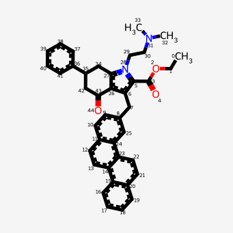 CCOC(=O)c1c(Cc2ccc3ccc4c5ccccc5ccc4c3c2)c2c(n1CCN(C)C)CC(c1ccccc1)CC2=O